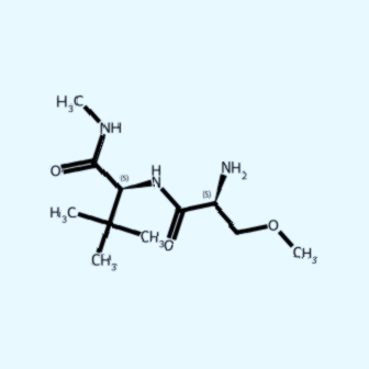 CNC(=O)[C@@H](NC(=O)[C@@H](N)COC)C(C)(C)C